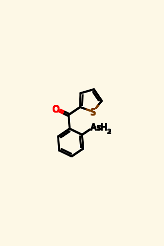 O=C(c1cccs1)c1ccccc1[AsH2]